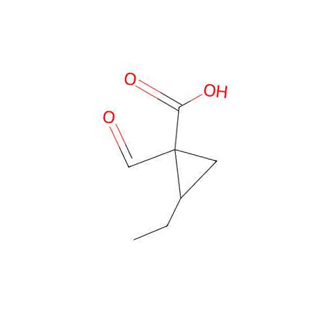 CCC1CC1(C=O)C(=O)O